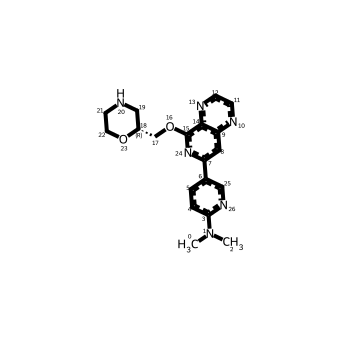 CN(C)c1ccc(-c2cc3nccnc3c(OC[C@H]3CNCCO3)n2)cn1